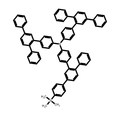 C[Si](C)(C)c1ccc(-c2ccc(-c3ccccc3)c(-c3ccc(N(c4ccc(-c5cc(-c6ccccc6)ccc5-c5ccccc5)cc4)c4ccc(-c5cc(-c6ccccc6)ccc5-c5ccccc5)cc4)cc3)c2)cc1